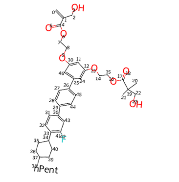 C=C(CO)C(=O)OCCOc1cc(OCCOC(=O)C(C)(C)CO)cc(-c2ccc(-c3ccc(C4CCC(CCCCC)CC4)c(F)c3)cc2)c1